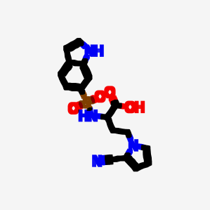 N#Cc1cccn1CCC(NS(=O)(=O)c1ccc2cc[nH]c2c1)C(=O)O